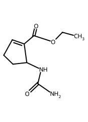 CCOC(=O)C1=CCCC1NC(N)=O